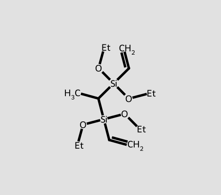 C=C[Si](OCC)(OCC)C(C)[Si](C=C)(OCC)OCC